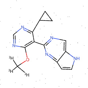 [2H]C([2H])([2H])Oc1ncnc(C2CC2)c1-c1ncc2[nH]ccc2n1